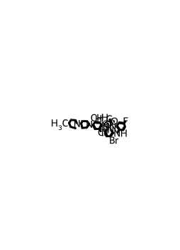 Cc1cc(Nc2ncc(Br)c(Nc3ccc(F)cc3NS(C)(=O)=O)n2)c(Cl)cc1N1CCC(N2CCC(C)CC2)CC1